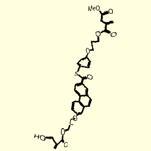 C=C(CO)C(=O)OCCOc1ccc2c(ccc3cc(C(=O)Sc4ccc(OCCCOC(=O)C(=C)CC(=O)OC)cc4)ccc32)c1